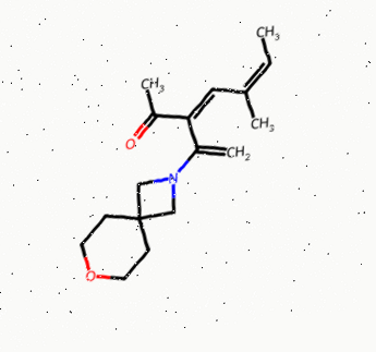 C=C(/C(=C\C(C)=C/C)C(C)=O)N1CC2(CCOCC2)C1